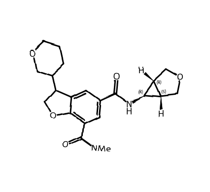 CNC(=O)c1cc(C(=O)N[C@H]2[C@@H]3COC[C@@H]32)cc2c1OCC2C1CCCOC1